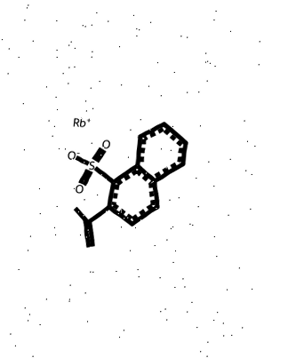 C=C(C)c1ccc2ccccc2c1S(=O)(=O)[O-].[Rb+]